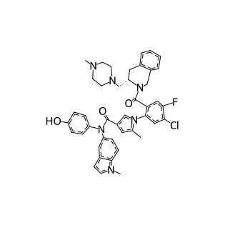 Cc1cc(C(=O)N(c2ccc(O)cc2)c2ccc3c(ccn3C)c2)cn1-c1cc(Cl)c(F)cc1C(=O)N1Cc2ccccc2C[C@H]1CN1CCN(C)CC1